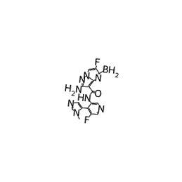 Bc1nc2c(C(=O)Nc3cncc(F)c3-c3cncn3C)c(N)nn2cc1F